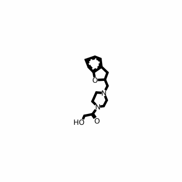 O=C(CO)N1CCN(CC2Cc3ccccc3O2)CC1